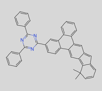 CC1(C)C=CC=C2C=c3cc4c5ccccc5c5cc(-c6nc(-c7ccccc7)nc(-c7ccccc7)n6)ccc5c4cc3=C21